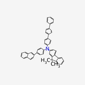 CC1(C)c2ccccc2-c2ccc(N(c3ccc(-c4ccc(-c5ccccc5)cc4)cc3)c3ccc(-c4ccc5ccccc5c4)cc3)cc21